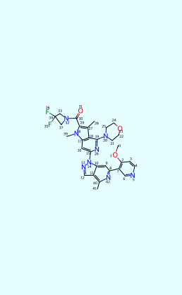 COc1ccncc1-c1cc2c(cnn2-c2cc3c(c(N4CCOCC4)n2)c(C)c(C(=O)N2CC(F)(F)C2)n3C)c(C)n1